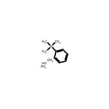 C[N+](C)(C)c1ccccc1.O.P.[OH-]